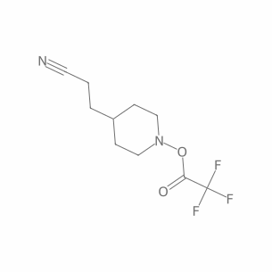 N#CCCC1CCN(OC(=O)C(F)(F)F)CC1